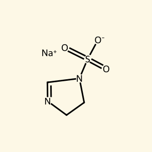 O=S(=O)([O-])N1C=NCC1.[Na+]